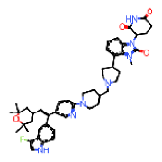 Cn1c(=O)n(C2CCC(=O)NC2=O)c2cccc(C3CCN(CC4CCN(c5ccc(C(=CC6CC(C)(C)OC(C)(C)C6)c6ccc7[nH]cc(F)c7c6)cn5)CC4)CC3)c21